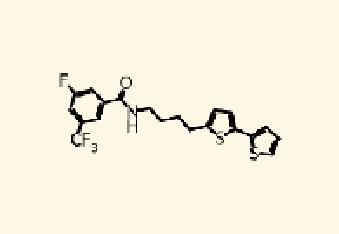 O=C(NCCCCc1ccc(-c2cccs2)s1)c1cc(F)cc(C(F)(F)F)c1